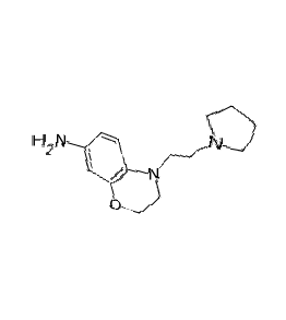 Nc1ccc2c(c1)OCCN2CCN1CCCC1